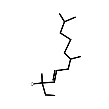 CCC(C)(O)C=CCC(C)CCCC(C)C